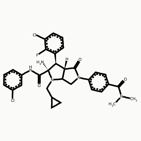 CN(C)C(=O)c1ccc(N2CC3[C@@H](C2=O)[C@H](c2cccc(Cl)c2F)[C@](N)(C(=O)Nc2cccc(Cl)c2)N3CC2CC2)cc1